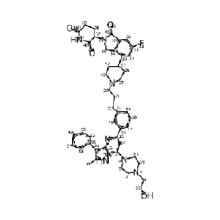 Cc1nn2c(N3CCN(CCO)CC3)cc(-c3cccc(CCCN4CCC(c5cc(F)cc6c5CN(C5CCC(=O)NC5=O)C6=O)CC4)c3)nc2c1-c1ccccc1